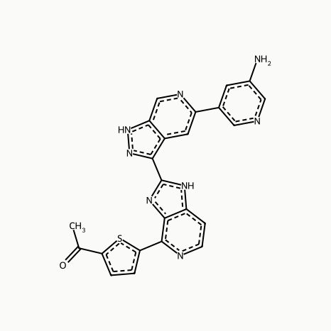 CC(=O)c1ccc(-c2nccc3[nH]c(-c4n[nH]c5cnc(-c6cncc(N)c6)cc45)nc23)s1